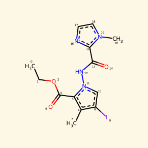 CCOC(=O)c1c(C)c(I)cn1NC(=O)c1nccn1C